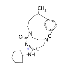 CC1CCCN2CCN(CC/C(NC3CCCCC3)=N\C2=O)Cc2ccc1cc2